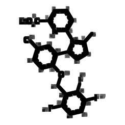 CCOC(=O)c1cccc(-n2c(C)ccc2-c2cc(Cl)ccc2OCc2c(F)ccc(F)c2F)n1